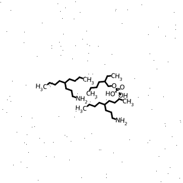 CCCCC(CC)COP(=O)(O)O.CCCCC(CCCC)CCCN.CCCCC(CCCC)CCCN